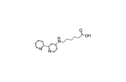 O=C(O)CCCCCNc1ccnc(-c2ccccn2)c1